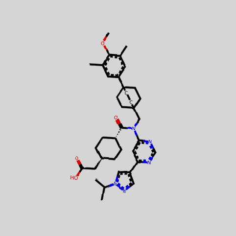 COc1c(C)cc(C23CCC(CN(c4cc(-c5cnn(C(C)C)c5)ncn4)C(=O)[C@H]4CC[C@H](CC(=O)O)CC4)(CC2)CC3)cc1C